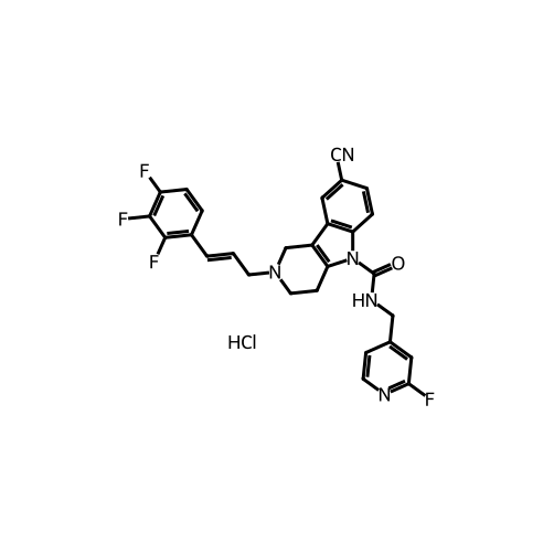 Cl.N#Cc1ccc2c(c1)c1c(n2C(=O)NCc2ccnc(F)c2)CCN(C/C=C/c2ccc(F)c(F)c2F)C1